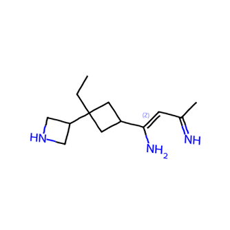 CCC1(C2CNC2)CC(/C(N)=C/C(C)=N)C1